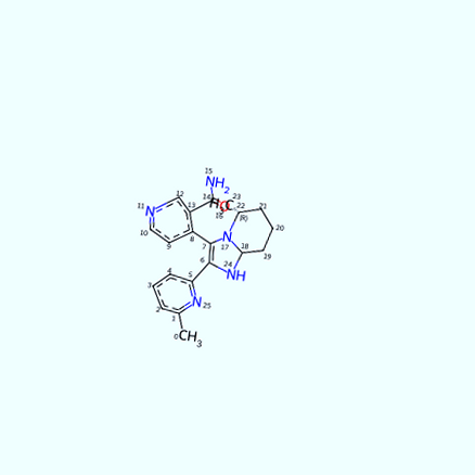 Cc1cccc(C2=C(c3ccncc3C(N)=O)N3C(CCC[C@H]3C)N2)n1